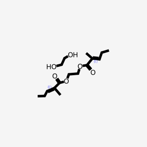 CC/C=C(\C)C(=O)OCCOC(=O)/C(C)=C/CC.OCCO